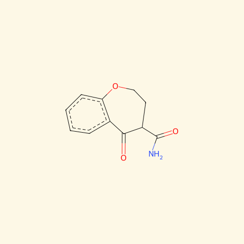 NC(=O)C1CCOc2ccccc2C1=O